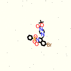 CC(C)(C)OC(=O)N1CCN(Cc2cn(S(=O)(=O)c3ccccc3)c(=O)c3ccc(Br)cc23)CC1